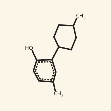 Cc1ccc(O)c(C2CCC(C)CC2)c1